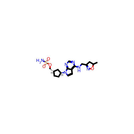 CC1CC(CNc2ncnc3c2ccn3[C@H]2CC[C@H](COS(N)(=O)=O)C2)=NO1